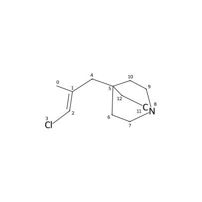 CC(=CCl)CC12CCN(CC1)CC2